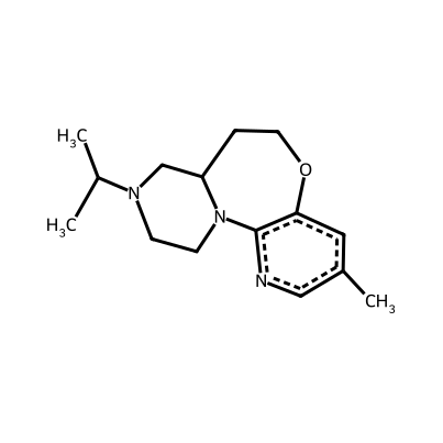 Cc1cnc2c(c1)OCCC1CN(C(C)C)CCN21